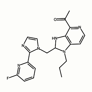 CCCN1c2ccnc(C(C)=O)c2NC1Cn1ccnc1-c1cccc(F)n1